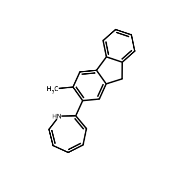 Cc1cc2c(cc1C1=CC=CC=CN1)Cc1ccccc1-2